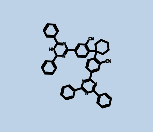 N#Cc1cc(C2=NC(c3ccccc3)NC(c3ccccc3)=N2)ccc1C1(c2ccc(-c3nc(-c4ccccc4)nc(-c4ccccc4)n3)cc2C#N)CCCCC1